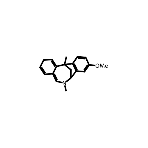 COc1ccc2c(c1)C1CC2(C)C2=CCC=CC2=CN1C